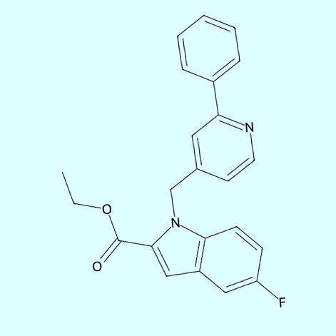 CCOC(=O)c1cc2cc(F)ccc2n1Cc1ccnc(-c2ccccc2)c1